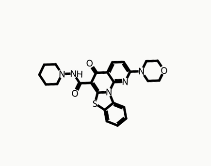 O=C(NN1CCCCC1)c1c(=O)c2ccc(N3CCOCC3)nc2n2c1sc1ccccc12